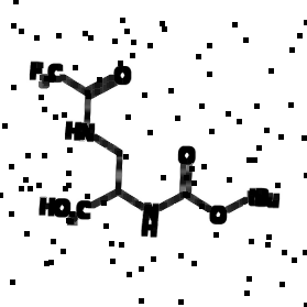 CC(C)(C)OC(=O)NC(CNC(=O)C(F)(F)F)C(=O)O